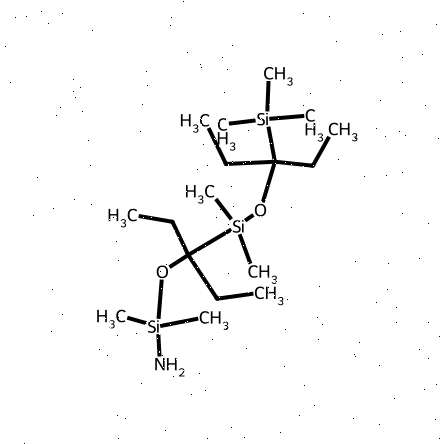 CCC(CC)(O[Si](C)(C)C(CC)(CC)O[Si](C)(C)N)[Si](C)(C)C